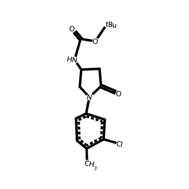 Cc1ccc(N2CC(NC(=O)OC(C)(C)C)CC2=O)cc1Cl